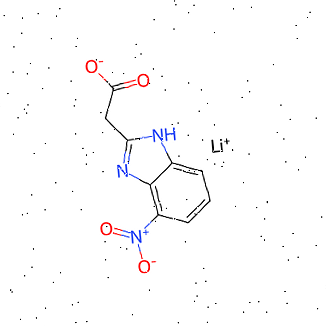 O=C([O-])Cc1nc2c([N+](=O)[O-])cccc2[nH]1.[Li+]